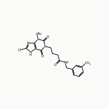 CCCCn1c(=O)n(CCCC(=O)NCc2cccc(C)c2)c(=O)c2[nH]c(Cl)nc21